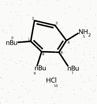 CCCCc1ccc(N)c(CCCC)c1CCCC.Cl